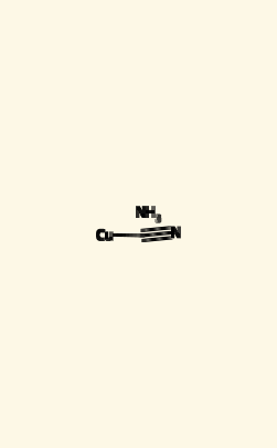 N.N#[C][Cu]